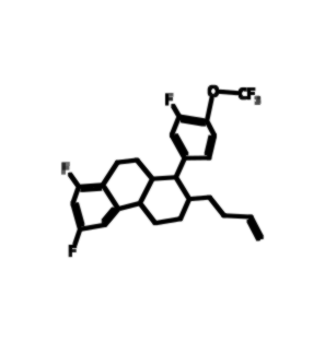 C=CCCC1CCC2c3cc(F)cc(F)c3CCC2C1c1ccc(OC(F)(F)F)c(F)c1